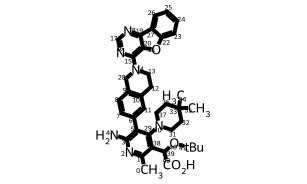 Cc1nc(N)c(-c2ccc3c(c2)CCN(c2ncnc4c2oc2ccccc24)C3)c(N2CCC(C)(C)CC2)c1C(OC(C)(C)C)C(=O)O